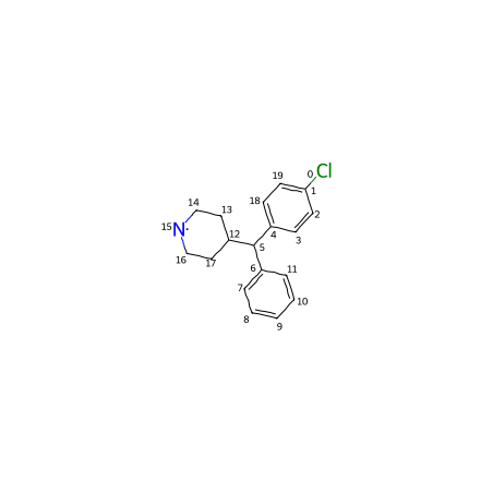 Clc1ccc(C(c2ccccc2)C2CC[N]CC2)cc1